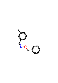 Cc1cccc(/[C]=N\OCc2ccccc2)c1